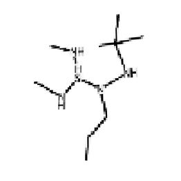 CCCN(NC(C)(C)C)[SiH](NC)NC